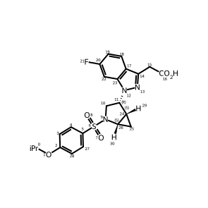 CC(C)Oc1ccc(S(=O)(=O)N2C[C@H](n3nc(CC(=O)O)c4ccc(F)cc43)[C@@H]3C[C@@H]32)cc1